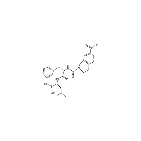 CC(C)C[C@H](NC(=O)[C@H](Cc1ccccc1)NC(=O)N1CCc2ccc([N+](=O)[O-])cc2C1)B(O)O